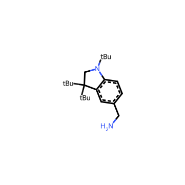 CC(C)(C)N1CC(C(C)(C)C)(C(C)(C)C)c2cc(CN)ccc21